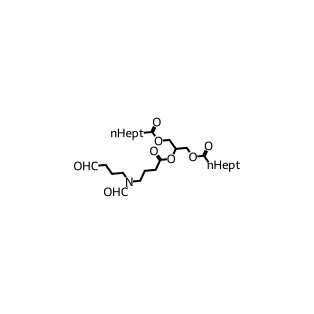 CCCCCCCC(=O)OCC(COC(=O)CCCCCCC)OC(=O)CCCN(C=O)CCCC=O